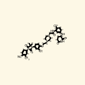 CCc1cc(N2C(=S)N(c3ccc(C#N)c(C(F)(F)F)c3)C(=O)C2(C)C)ccc1OCCN1CCN(CC(=O)Nc2cc(NC3CCC(=O)NC3=O)ccc2Cl)CC1